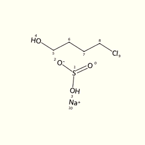 O=S([O-])O.OCCCCCl.[Na+]